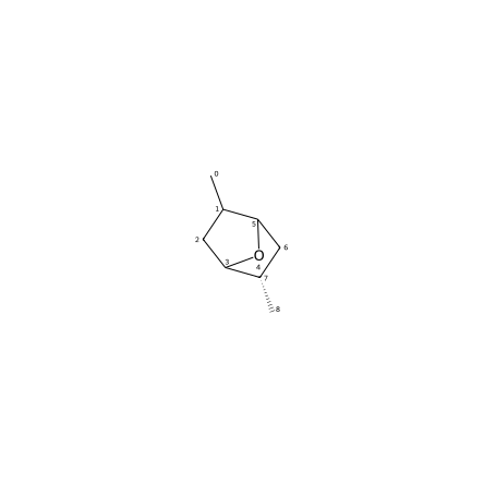 CC1CC2OC1C[C@@H]2C